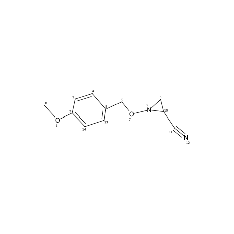 COc1ccc(CON2CC2C#N)cc1